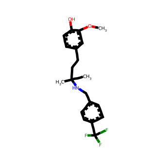 COc1cc(CCC(C)(C)NCc2ccc(C(F)(F)F)cc2)ccc1O